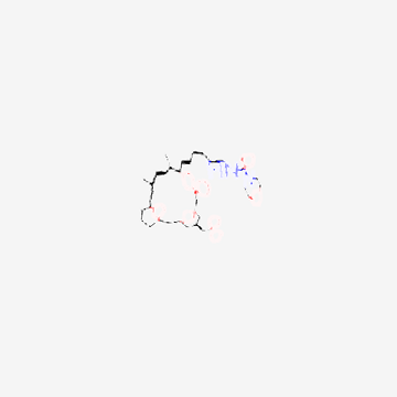 COC(=O)/C=C1\CC2CC(=O)OC(/C=C/C=C\CCNC(=O)N3CCOCC3)C(C)/C=C/C(C)CC3CCCC(CC(C1)O2)O3